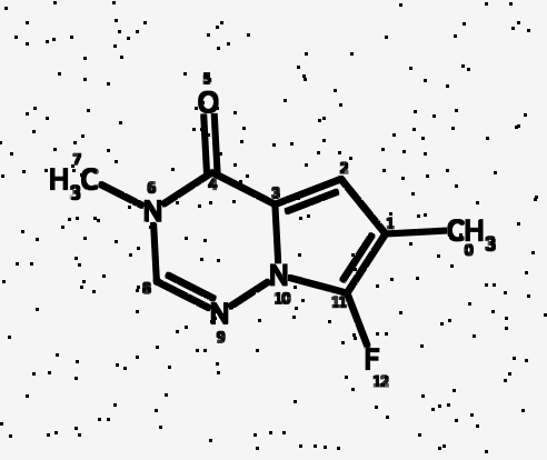 Cc1cc2c(=O)n(C)cnn2c1F